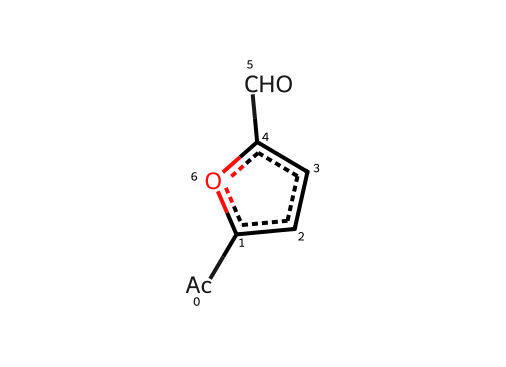 CC(=O)c1ccc(C=O)o1